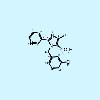 Cc1nc(-c2cccnc2)n(Cc2cccc(Cl)c2)c1C(=O)O